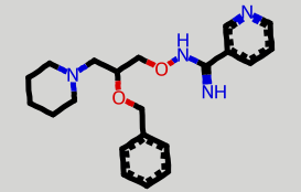 N=C(NOCC(CN1CCCCC1)OCc1ccccc1)c1cccnc1